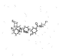 O=C(NCCF)c1ccc(F)c(-c2ccc(NCC3(c4ncccc4F)CC(F)C3)nn2)c1